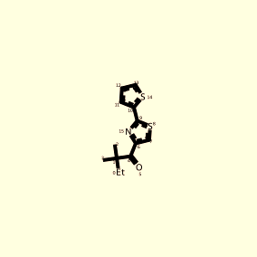 CCC(C)(C)C(=O)c1csc(-c2cccs2)n1